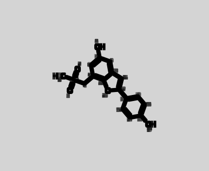 CS(=O)(=O)Cc1cc(O)cc2cc(-c3ccc(O)cc3)oc12